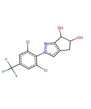 OC1Cc2cn(-c3c(Cl)cc(C(F)(F)F)cc3Cl)nc2C1O